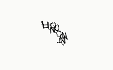 CCCCN(Cc1ccc2ncn(C(C)C)c2c1)C(=O)O